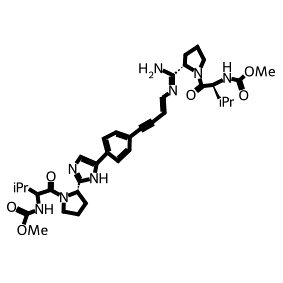 COC(=O)NC(C(=O)N1CCC[C@H]1c1ncc(-c2ccc(C#C/C=C/N=C(\N)[C@@H]3CCCN3C(=O)[C@@H](NC(=O)OC)C(C)C)cc2)[nH]1)C(C)C